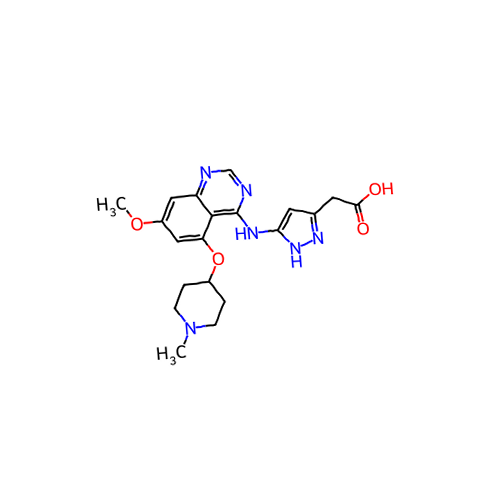 COc1cc(OC2CCN(C)CC2)c2c(Nc3cc(CC(=O)O)n[nH]3)ncnc2c1